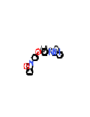 COc1ccccc1CNc1ccc(Oc2ccc(N3COc4ccccc4C3)cc2)cc1